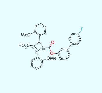 COc1ccccc1C1[C@H](C(=O)O)[C@@H](c2ccccc2OC)[C@H]1C(=O)Oc1cccc(-c2ccc(F)cc2)c1